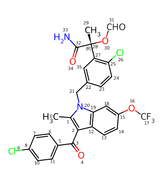 Cc1c(C(=O)c2ccc(Cl)cc2)c2ccc(OC(F)(F)F)cc2n1Cc1ccc(Cl)c([C@@](C)(OC=O)C(N)=O)c1